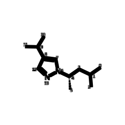 CC(C)C[C@H](C)n1cc(C(C)C)cn1